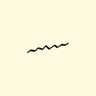 C/C=C/C=C/C=C/C=C/C=C/C